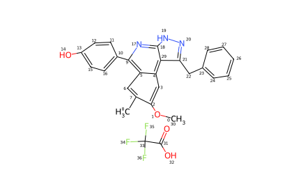 COc1cc2c(cc1C)c(-c1ccc(O)cc1)nc1[nH]nc(Cc3ccccc3)c12.O=C(O)C(F)(F)F